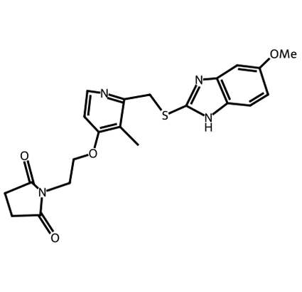 COc1ccc2[nH]c(SCc3nccc(OCCN4C(=O)CCC4=O)c3C)nc2c1